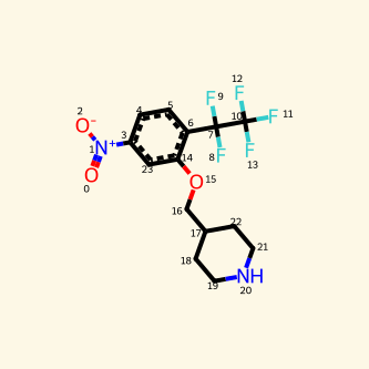 O=[N+]([O-])c1ccc(C(F)(F)C(F)(F)F)c(OCC2CCNCC2)c1